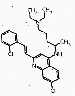 CCN(CC)CCCC(C)Nc1cc(C=Cc2ccccc2Cl)nc2cc(Cl)ccc12